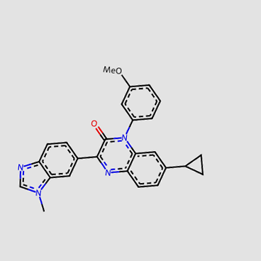 COc1cccc(-n2c(=O)c(-c3ccc4ncn(C)c4c3)nc3ccc(C4CC4)cc32)c1